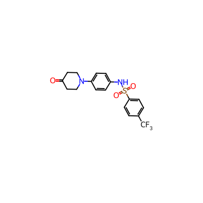 O=C1CCN(c2ccc(NS(=O)(=O)c3ccc(C(F)(F)F)cc3)cc2)CC1